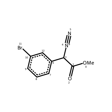 COC(=O)C([N+]#N)c1cccc(Br)c1